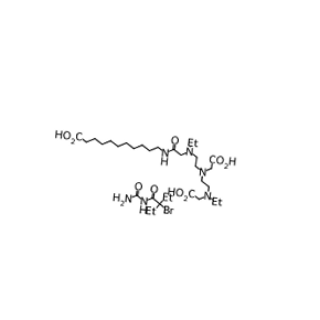 CCC(Br)(CC)C(=O)NC(N)=O.CCN(CCN(CCN(CC)CC(=O)NCCCCCCCCCCC(=O)O)CC(=O)O)CC(=O)O